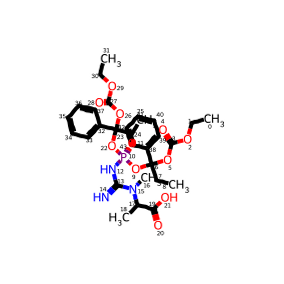 CCOC(=O)OC(CC)(OP(=O)(NC(=N)N(C)C(C)C(=O)O)OC(CC)(OC(=O)OCC)c1ccccc1)c1ccccc1